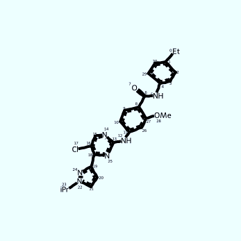 CCc1ccc(NC(=O)c2ccc(Nc3ncc(Cl)c(-c4ccn(C(C)C)n4)n3)cc2OC)cc1